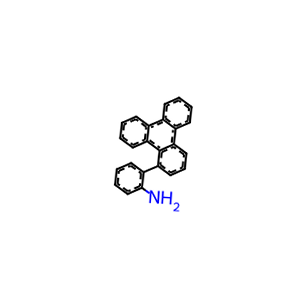 Nc1ccccc1-c1cccc2c3ccccc3c3ccccc3c12